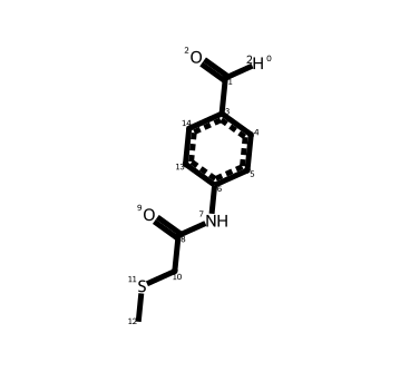 [2H]C(=O)c1ccc(NC(=O)CSC)cc1